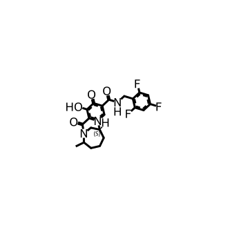 CC1CCC[C@H]2CN1C(=O)c1c(O)c(=O)c(C(=O)NCc3c(F)cc(F)cc3F)cn12